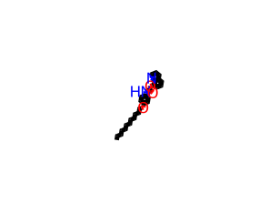 CCCCCCCCCCCCOc1ccc(NC(=O)Oc2cccc3cccnc23)cc1